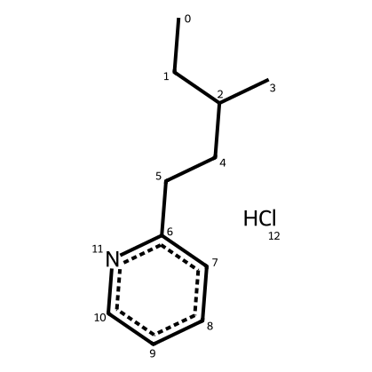 CCC(C)CCc1ccccn1.Cl